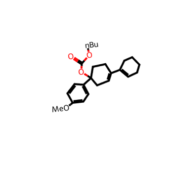 CCCCOC(=O)OC1(c2ccc(OC)cc2)CC=C(C2=CCCCC2)CC1